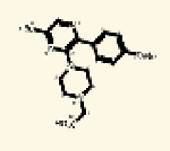 CCCCc1cnc(-c2ccc(OC)cc2)c(N2CCN(CC(=O)O)CC2)n1